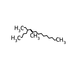 CCCCCCCCC/C(C)=C/C(CC)CCCC